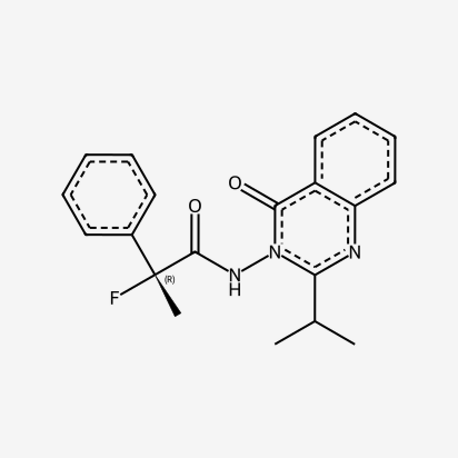 CC(C)c1nc2ccccc2c(=O)n1NC(=O)[C@](C)(F)c1ccccc1